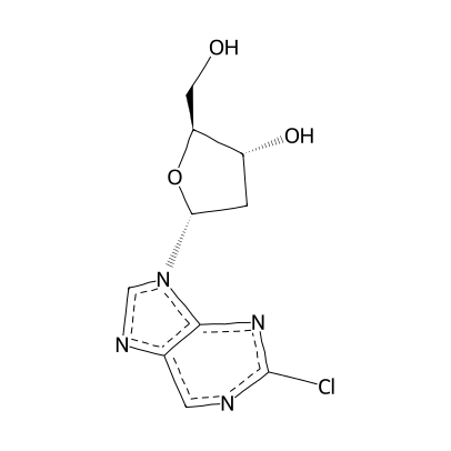 OC[C@@H]1O[C@@H](n2cnc3cnc(Cl)nc32)C[C@H]1O